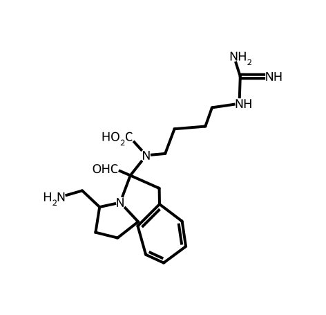 N=C(N)NCCCCN(C(=O)O)C(C=O)(Cc1ccccc1)N1CCCC1CN